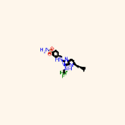 NS(=O)(=O)c1ccc(CNc2nc(NCC(F)(F)F)c3nc(C#CC4CC4)ccc3n2)cc1